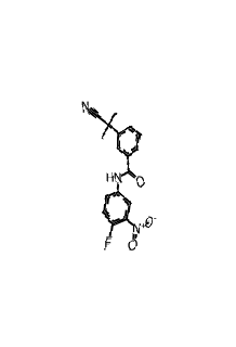 CC(C)(C#N)c1cccc(C(=O)Nc2ccc(F)c([N+](=O)[O-])c2)c1